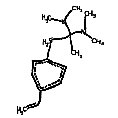 C=Cc1ccc([SiH2]C(C)(N(C)C)N(C)C)cc1